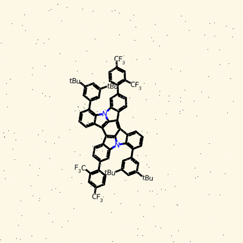 CC(C)(C)c1cc(-c2cccc3c4c5c6ccc(-c7ccc(C(F)(F)F)cc7C(F)(F)F)cc6n6c7c(-c8cc(C(C)(C)C)cc(C(C)(C)C)c8)cccc7c(c7c8ccc(-c9ccc(C(F)(F)F)cc9C(F)(F)F)cc8n(c23)c74)c56)cc(C(C)(C)C)c1